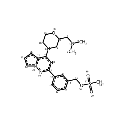 CN(C)CC1CN(c2nc(-c3cccc(COS(C)(=O)=O)c3)nn3cccc23)CCO1